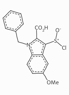 COc1ccc2c(c1)c([S+]([O-])Cl)c(C(=O)O)n2Cc1ccccc1